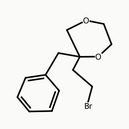 BrCCC1(Cc2ccccc2)COCCO1